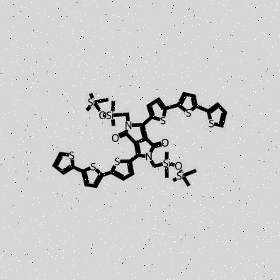 C[Si](C)(C)O[Si](C)(C)CN1C(=O)C2=C(c3ccc(-c4ccc(-c5cccs5)s4)s3)N(C[Si](C)(C)O[Si](C)(C)C)C(=O)C2=C1c1ccc(-c2ccc(-c3cccs3)s2)s1